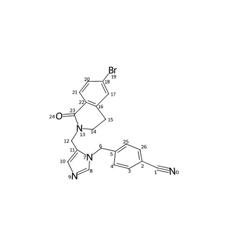 N#Cc1ccc(Cn2cncc2CN2CCc3cc(Br)ccc3C2=O)cc1